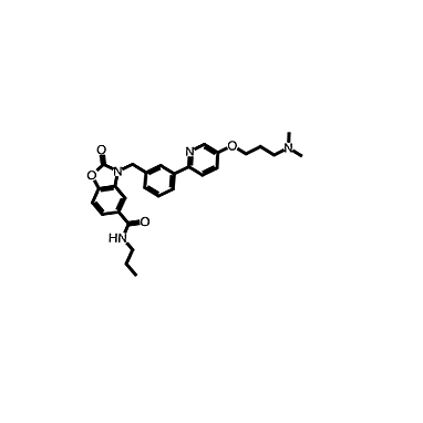 CCCNC(=O)c1ccc2oc(=O)n(Cc3cccc(-c4ccc(OCCCN(C)C)cn4)c3)c2c1